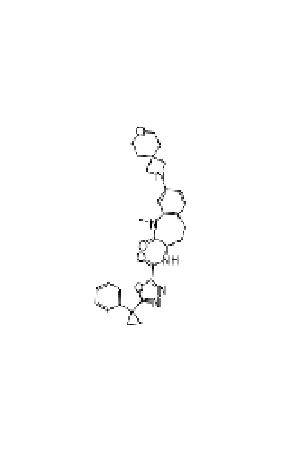 CN1C(=O)[C@H](NC(=O)c2nnc(C3(c4ccccc4)CC3)o2)CCc2ccc(N3CC4(CCOCC4)C3)cc21